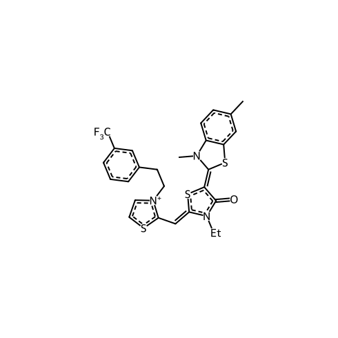 CCn1c(=O)/c(=C2\Sc3cc(C)ccc3N2C)s/c1=C\c1scc[n+]1CCc1cccc(C(F)(F)F)c1